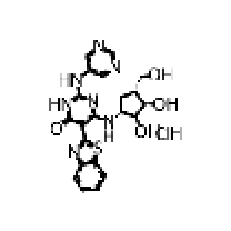 Cl.O=c1[nH]c(Nc2cncnc2)nc(N[C@@H]2C[C@H](CO)[C@@H](O)[C@H]2O)c1-c1nc2ccccc2s1